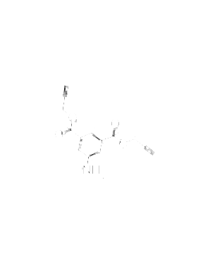 C#CCOC(=O)c1cc(N)cc(C(=O)OCC#C)c1